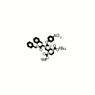 CC(C)(C)OC(=O)N1CCN(C(=O)OC(C)(C)C)C(CN(C(=O)Oc2ccc([N+](=O)[O-])cc2)[C@H](Cc2ccccc2)C(=O)OCc2ccccc2)C1